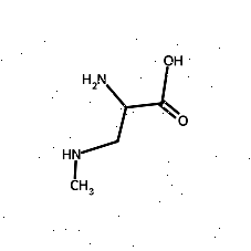 CNCC(N)C(=O)O